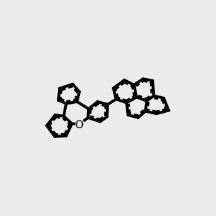 c1ccc2c(c1)Oc1ccc(-c3ccc4ccc5cccc6ccc3c4c56)cc1-c1ccccc1-2